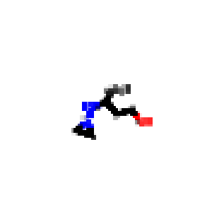 O=C(O)C(CCO)NN1CC1